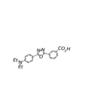 CCN(CC)c1ccc(-c2nnc(-c3cccc(C(=O)O)c3)o2)cc1